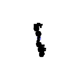 CCCc1ccc(C2CCC(/C=C/CCc3ccc(-c4ccc(C5CO5)c(F)c4F)cc3)CC2)cc1